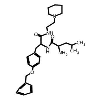 CC(C)CC(N)C(=O)NC(Cc1ccc(OCc2ccccc2)cc1)C(=O)NCCN1CCCCC1